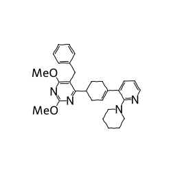 COc1nc(OC)c(Cc2ccccc2)c(C2CC=C(c3cccnc3N3CCCCC3)CC2)n1